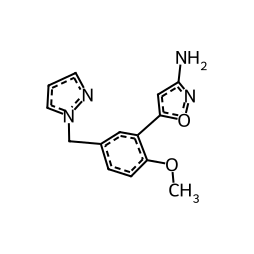 COc1ccc(Cn2cccn2)cc1-c1cc(N)no1